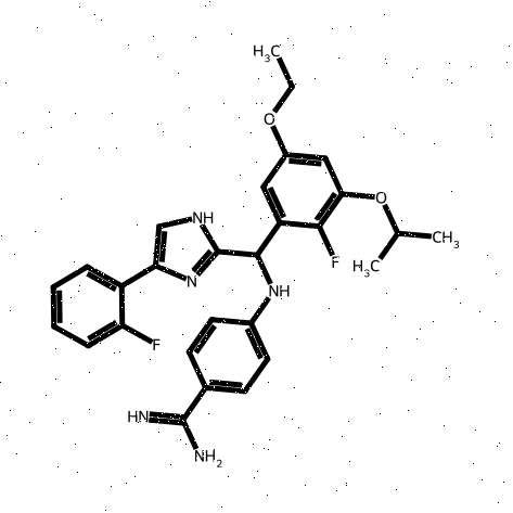 CCOc1cc(OC(C)C)c(F)c(C(Nc2ccc(C(=N)N)cc2)c2nc(-c3ccccc3F)c[nH]2)c1